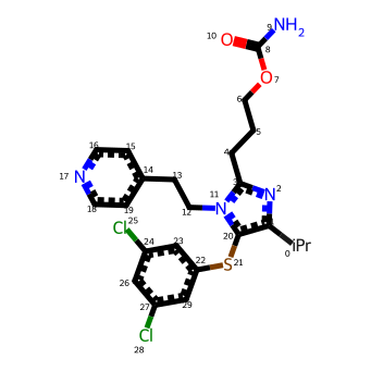 CC(C)c1nc(CCCOC(N)=O)n(CCc2ccncc2)c1Sc1cc(Cl)cc(Cl)c1